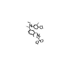 CCN(c1ccc(Cl)c(C)c1)C(C)c1ccc(C)c(CN2CC(C(=O)OC)C2)c1